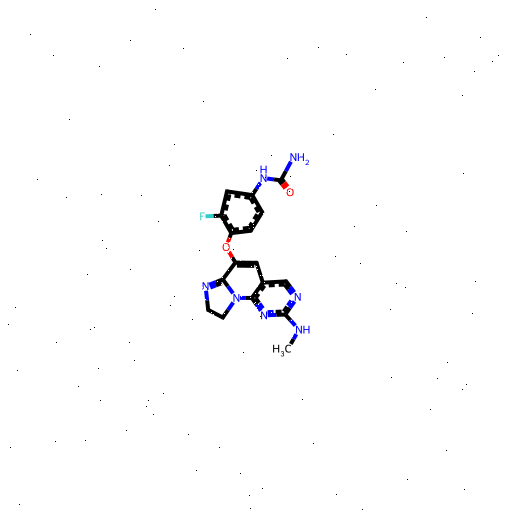 CNc1ncc2c(n1)N1CCN=C1C(Oc1ccc(NC(N)=O)cc1F)=C2